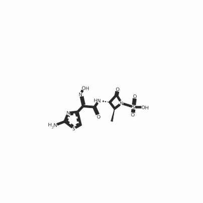 C[C@H]1[C@H](NC(=O)/C(=N\O)c2csc(N)n2)C(=O)N1S(=O)(=O)O